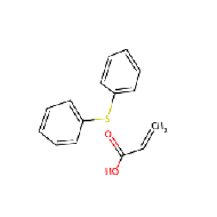 C=CC(=O)O.c1ccc(Sc2ccccc2)cc1